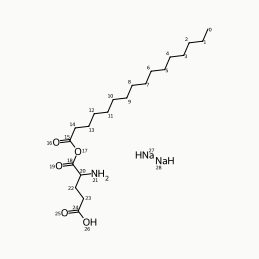 CCCCCCCCCCCCCCCC(=O)OC(=O)C(N)CCC(=O)O.[NaH].[NaH]